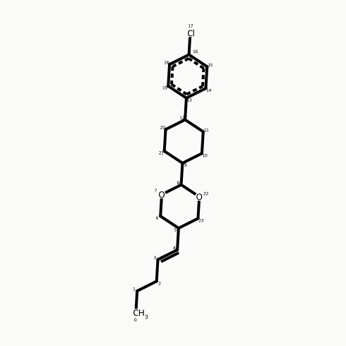 CCCC=CC1COC(C2CCC(c3ccc(Cl)cc3)CC2)OC1